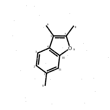 Cc1ccc2c(C)c(C)oc2c1